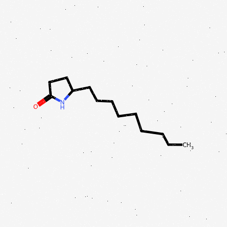 CCCCCCCCCC1CCC(=O)N1